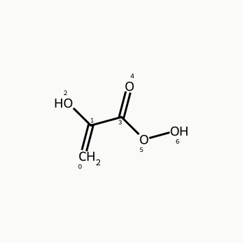 C=C(O)C(=O)OO